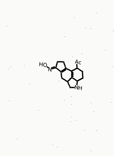 CC(=O)C1CCC2NCC3CC4=C(CCC4=NO)C1=C32